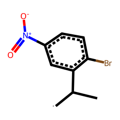 [CH2]C(C)c1cc([N+](=O)[O-])ccc1Br